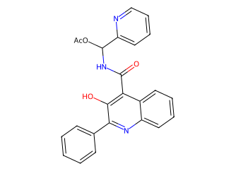 CC(=O)OC(NC(=O)c1c(O)c(-c2ccccc2)nc2ccccc12)c1ccccn1